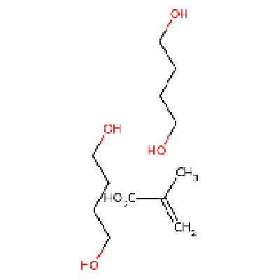 C=C(C)C(=O)O.OCCCCO.OCCCCO